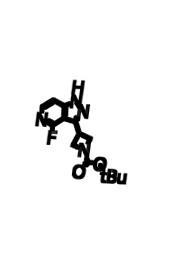 CC(C)(C)OC(=O)N1CC(c2n[nH]c3ccnc(F)c23)C1